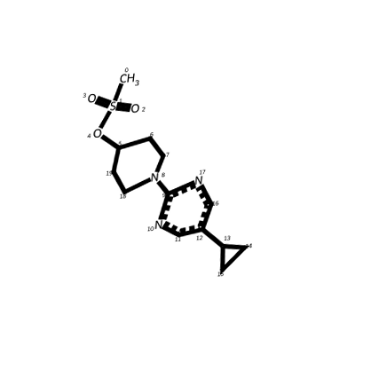 CS(=O)(=O)OC1CCN(c2ncc(C3CC3)cn2)CC1